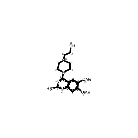 COc1cc2nc(C)nc(N3CCN(CCO)CC3)c2cc1OC